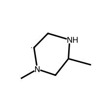 CC1CN(C)[CH]CN1